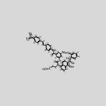 CCCCCCCCCCCCN(C(=O)Sc1cccc(C(=O)Nc2ccc(C=Cc3ccc(N(CC)CC)cc3)cc2)c1)c1cccc2c(O)c(C(=O)Nc3ccccc3OC)ccc12